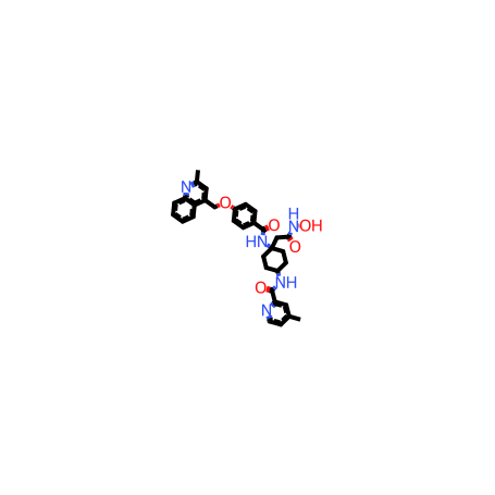 Cc1ccnc(C(=O)NC2CCC(CC(=O)NO)(NC(=O)c3ccc(OCc4cc(C)nc5ccccc45)cc3)CC2)c1